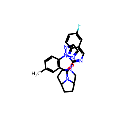 Cc1ccc(-n2nccn2)c(C(=O)N2C3CCC2CN(c2ncc4cc(F)ccc4n2)CC3)c1